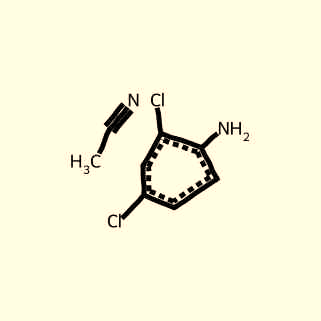 CC#N.Nc1ccc(Cl)cc1Cl